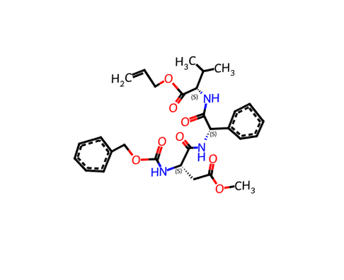 C=CCOC(=O)[C@@H](NC(=O)[C@@H](NC(=O)[C@H](CC(=O)OC)NC(=O)OCc1ccccc1)c1ccccc1)C(C)C